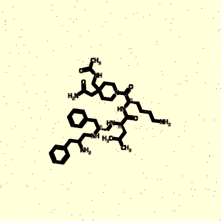 CC(=O)NCC1(CC(N)=O)CCN(C(=O)[C@@H](CCCCN)NC(=O)[C@@H](CC(C)C)NC[C@@H](Cc2ccccc2)NCC(N)Cc2ccccc2)CC1